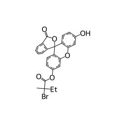 CCC(C)(Br)C(=O)Oc1ccc2c(c1)Oc1cc(O)ccc1C21OC(=O)c2ccccc21